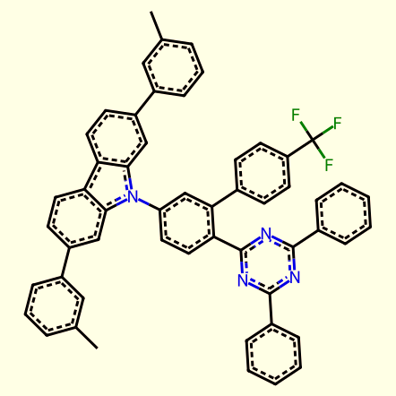 Cc1cccc(-c2ccc3c4ccc(-c5cccc(C)c5)cc4n(-c4ccc(-c5nc(-c6ccccc6)nc(-c6ccccc6)n5)c(-c5ccc(C(F)(F)F)cc5)c4)c3c2)c1